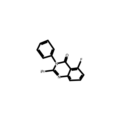 CC(C)c1nc2cccc(F)c2c(=O)n1-c1ccccc1